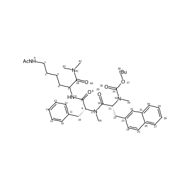 CC(=O)NCCCCC(NC(=O)[C@@H](Cc1ccccc1)N(C)C(=O)[C@@H](Cc1ccc2ccccc2c1)N(C)C(=O)OC(C)(C)C)C(=O)N(C)C